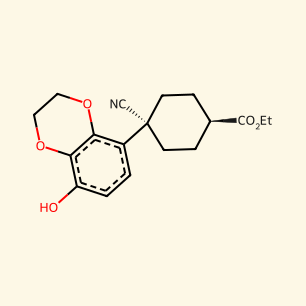 CCOC(=O)[C@H]1CC[C@@](C#N)(c2ccc(O)c3c2OCCO3)CC1